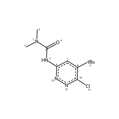 CN(C)C(=O)Nc1cc(C(C)(C)C)c(Cl)nn1